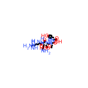 CCC[C@H](NC(=O)[C@H](CC(=O)O)NC(=O)[C@H](CCCCN)NC(=O)[C@H](N)CCCNC(=N)N)C(=O)N[C@H](Cc1ccc(O)cc1)C(=O)O